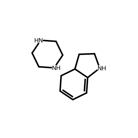 C1=CCC2CCNC2=C1.C1CNCCN1